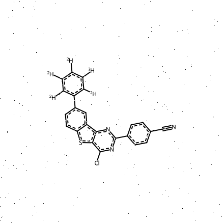 [2H]c1c([2H])c([2H])c(-c2ccc3sc4c(Cl)nc(-c5ccc(C#N)cc5)nc4c3c2)c([2H])c1[2H]